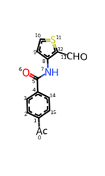 CC(=O)c1ccc(C(=O)Nc2ccsc2C=O)cc1